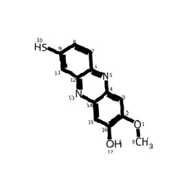 COc1cc2nc3ccc(S)cc3nc2cc1O